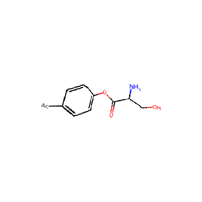 CC(=O)c1ccc(OC(=O)C(N)CO)cc1